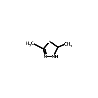 CC1=NNC(C)S1